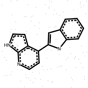 C1=C(c2ccnc3[nH]ccc23)[N]c2ccccc21